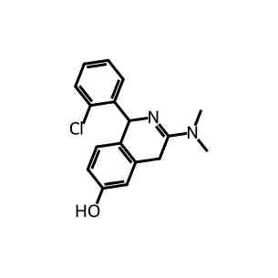 CN(C)C1=NC(c2ccccc2Cl)c2ccc(O)cc2C1